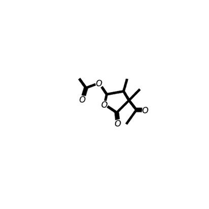 CC(=O)OC1OC(=O)C(C)(C(C)=O)C1C